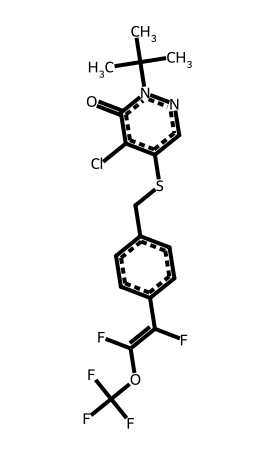 CC(C)(C)n1ncc(SCc2ccc(C(F)=C(F)OC(F)(F)F)cc2)c(Cl)c1=O